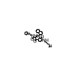 CN(C)CCCCNc1ccc2c(=O)c(C(=O)NCCN3CCCC3)cn3c2c1Oc1ccc2ccccc2c1-3